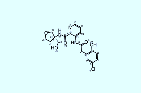 O=C(Cc1cc(Cl)ccc1O)Nc1cccnc1C(=O)N[C@@]1(CO)CCOC1